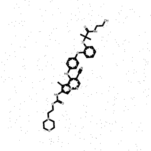 Cc1c(NC(=O)OCCN2CCOCC2)cn2ncc(C#N)c(Nc3ccc(Oc4ccccc4OC(C)(C)C(=O)NCCO)cc3)c12